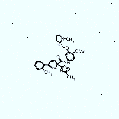 COc1ccc(NC(=O)C2(c3noc(C)n3)C=CC(c3ccccc3C)=CC2)cc1OC[C@@H]1CCCN1C